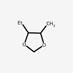 CCC1OCOC1C